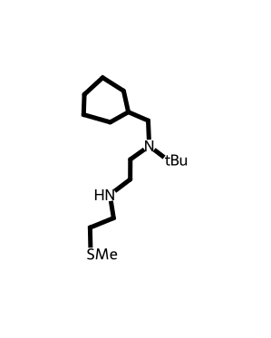 CSCCNCCN(CC1CCCCC1)C(C)(C)C